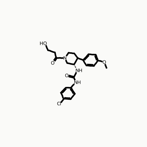 COc1ccc(C2CCN(C(=O)CCO)C[C@H]2NC(=O)Nc2ccc(Cl)cc2)cc1